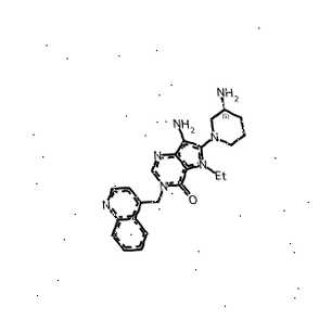 CCn1c(N2CCC[C@H](N)C2)c(N)c2ncn(Cc3ccnc4ccccc34)c(=O)c21